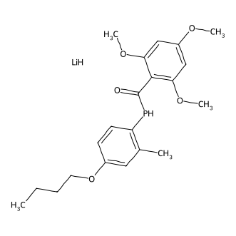 CCCCOc1ccc(PC(=O)c2c(OC)cc(OC)cc2OC)c(C)c1.[LiH]